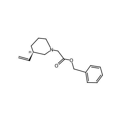 C=C[C@H]1CCCN(CC(=O)OCc2ccccc2)C1